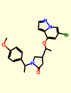 COc1ccc(C(C)N2CC(C(C)Oc3cc(Br)cn4nccc34)CC2=O)cc1